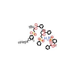 CC(C)(C)C(CCS(=O)(=O)c1ccccc1)OC(=O)c1ccccc1.CC(C)CC(CCS(=O)(=O)c1ccccc1)OC(=O)c1ccccc1.CCCCCCCC.NS(=O)(=O)c1cccc(Br)c1OC(=O)c1ccccc1